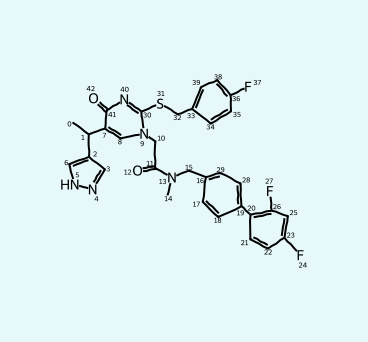 CC(c1cn[nH]c1)c1cn(CC(=O)N(C)Cc2ccc(-c3ccc(F)cc3F)cc2)c(SCc2ccc(F)cc2)nc1=O